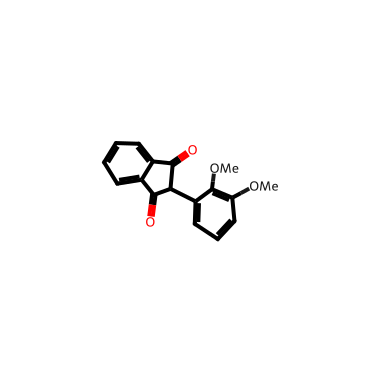 COc1cccc(C2C(=O)c3ccccc3C2=O)c1OC